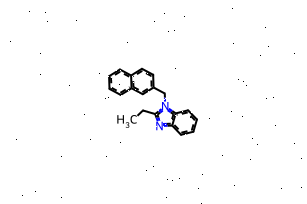 CCc1nc2ccccc2n1Cc1ccc2ccccc2c1